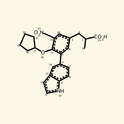 CC(Cc1cc(-c2ccc3[nH]ccc3c2)c(OC2CCCC2)c([N+](=O)[O-])c1)C(=O)O